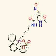 CC(=O)NC(C(=O)NCCCCCP(OS(C)(=O)=O)(c1ccccc1)(c1ccccc1)c1ccccc1)C(C)(C)SN=O